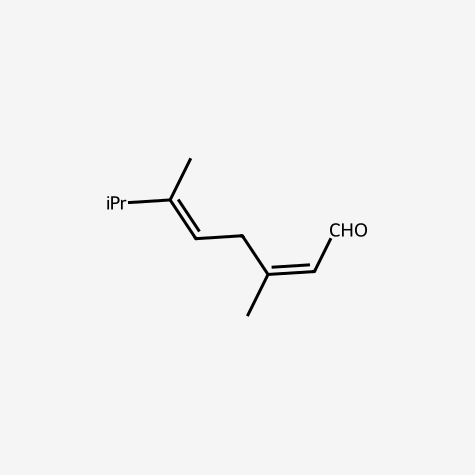 CC(=CC=O)CC=C(C)C(C)C